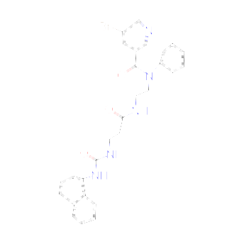 O=C(CCNC(=O)Nc1cccc2ccccc12)NCCN(C(=O)c1cncc(Br)c1)c1ccccc1